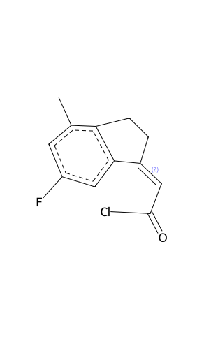 Cc1cc(F)cc2c1CC/C2=C/C(=O)Cl